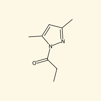 CCC(=O)n1nc(C)cc1C